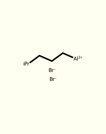 CC(C)CC[CH2][Al+2].[Br-].[Br-]